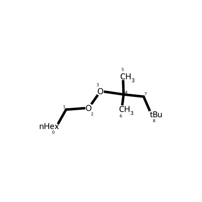 CCCCCCCOOC(C)(C)CC(C)(C)C